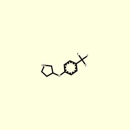 FC(F)(F)c1ccc(OC2CCNC2)cc1